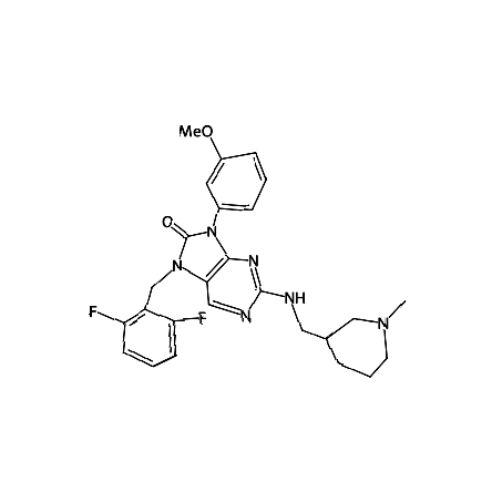 COc1cccc(-n2c(=O)n(Cc3c(F)cccc3F)c3cnc(NCC4CCCN(C)C4)nc32)c1